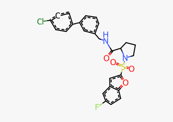 O=C(NCc1cccc(-c2ccc(Cl)cc2)c1)C1CCCN1S(=O)(=O)c1cc2cc(F)ccc2o1